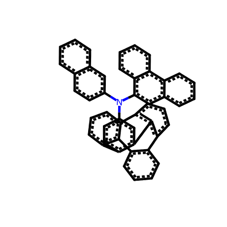 c1ccc2c(c1)-c1cccc3c1-c1cc(N(c4ccc5ccccc5c4)c4cc5ccccc5c5ccccc45)ccc1-c1cccc-3c1-2